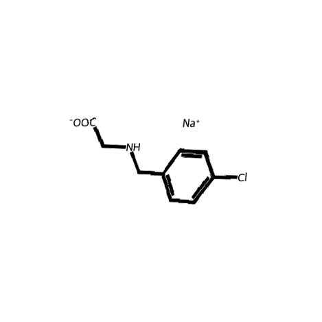 O=C([O-])CNCc1ccc(Cl)cc1.[Na+]